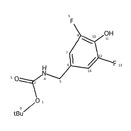 CC(C)(C)OC(=O)NCc1cc(F)c(O)c(F)c1